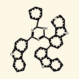 c1ccc(C2N=C(c3ccc4oc5ccccc5c4c3)N=C(c3c(-c4cccc5oc6ccccc6c45)ccc4oc5ccccc5c34)N2)cc1